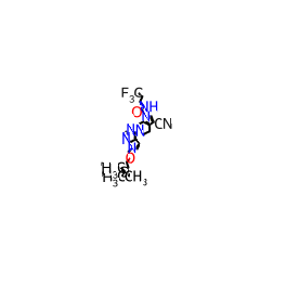 C[Si](C)(C)CCOCn1ccc2c(N3CCc4c(C#N)cn(C(=O)NCCC(F)(F)F)c4C3)ncnc21